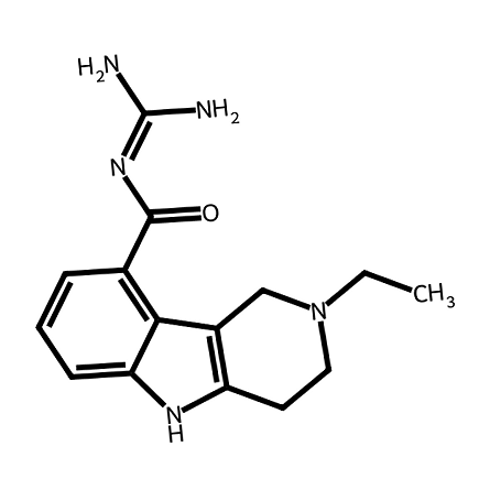 CCN1CCc2[nH]c3cccc(C(=O)N=C(N)N)c3c2C1